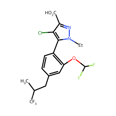 CCn1nc(C(=O)O)c(Cl)c1-c1ccc(CC(C)C(F)(F)F)cc1OC(F)F